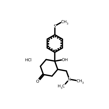 CSc1ccc(C2(O)CCC(=O)CC2CN(C)C)cc1.Cl